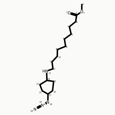 COC(=O)CCCCCCCCCNC1CCC(N=[N+]=[N-])CC1